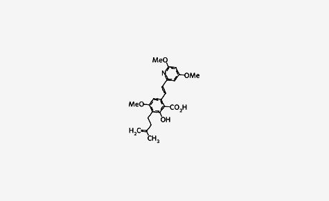 C=C(C)CCc1c(OC)cc(/C=C/c2cc(OC)cc(OC)n2)c(C(=O)O)c1O